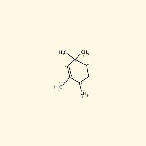 CC1=CC(C)(C)C[CH]C1C